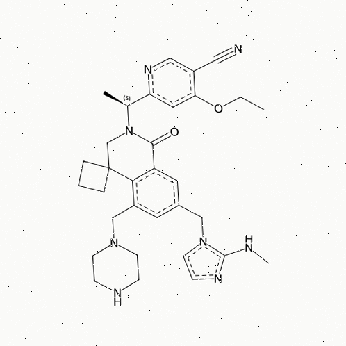 CCOc1cc([C@H](C)N2CC3(CCC3)c3c(CN4CCNCC4)cc(Cn4ccnc4NC)cc3C2=O)ncc1C#N